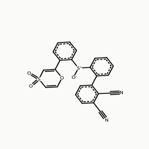 N#Cc1cccc(-c2ccccc2[S+]([O-])c2ccccc2C2=CS(=O)(=O)C=CO2)c1C#N